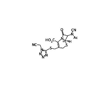 CC(=O)N(C#N)C1C(=O)N2C(C(=O)O)=C(CSc3nnnn3CC#N)CS[C@@H]12